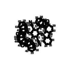 N#Cc1c(-c2ccncc2)c(-n2c3ccccc3c3ccc4oc5ccccc5c4c32)c(C#N)c(-n2c3ccccc3c3ccc4oc5ccccc5c4c32)c1-n1c2ccccc2c2ccc3oc4ccccc4c3c21